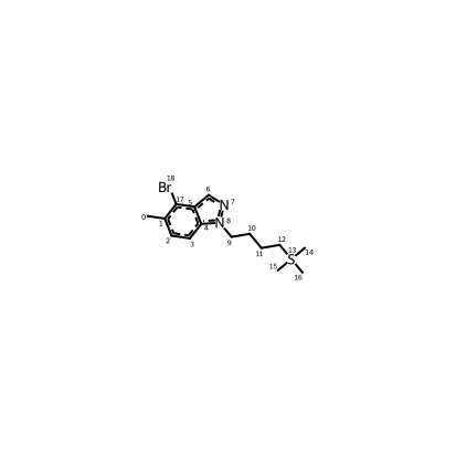 Cc1ccc2c(cnn2CCCCS(C)(C)C)c1Br